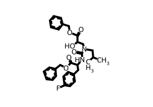 CC(C)CN(CC(O)C(=O)OCc1ccccc1)C(=O)NC(Cc1ccc(F)cc1)C(=O)OCc1ccccc1